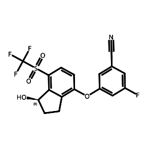 N#Cc1cc(F)cc(Oc2ccc(S(=O)(=O)C(F)(F)F)c3c2CC[C@H]3O)c1